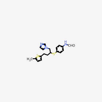 Cc1ccc(CCC(Cn2ccnc2)Sc2ccc(NC=O)cc2)s1